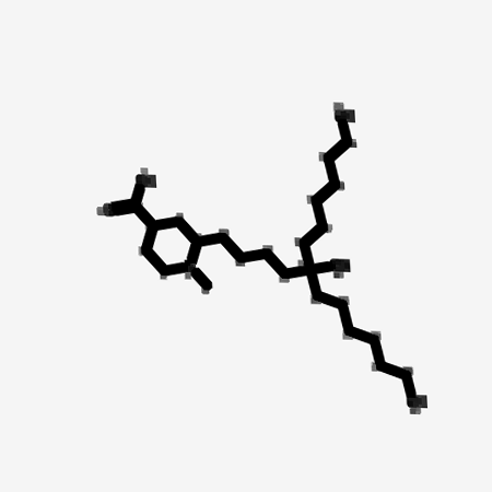 CN1CCC(C(=O)O)CC1CCCCC(O)(CCCCCCO)CCCCCCO